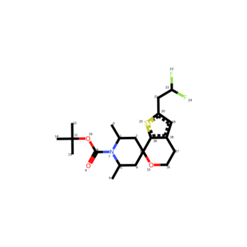 CC1CC2(CC(C)N1C(=O)OC(C)(C)C)OCCc1cc(CC(F)F)sc12